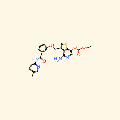 CCOC(=O)Oc1cnc(N)c2c(COc3cccc(C(=O)Nc4ccc(C)cn4)c3)csc12